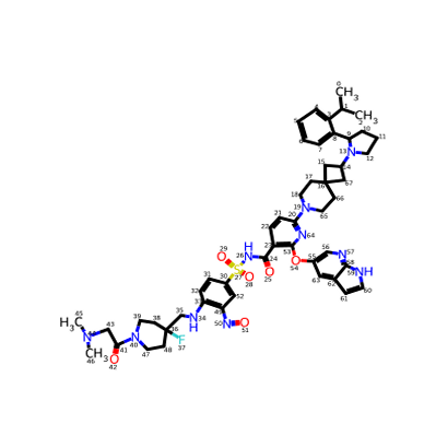 CC(C)c1ccccc1C1CCCN1C1CC2(CCN(c3ccc(C(=O)NS(=O)(=O)c4ccc(NCC5(F)CCN(C(=O)CN(C)C)CC5)c(N=O)c4)c(Oc4cnc5[nH]ccc5c4)n3)CC2)C1